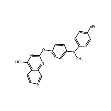 CCCc1ccc(N(C)c2ccc(Oc3nc(O)c4ccncc4n3)cc2)cc1